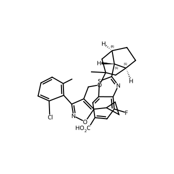 Cc1cccc(Cl)c1-c1noc(C2CC2)c1COC1(C)C[C@H]2CC[C@@H](C1)[C@@H]2c1nc2c(F)cc(C(=O)O)cc2s1